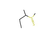 CCC(C)S(C)=S